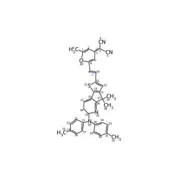 CC1=CC(=C(C#N)C#N)C=C(/C=C/c2cc3c(s2)C2=CCC(N(c4ccc(C)cc4)c4ccc(C)cc4)N=C2C3(C)C)O1